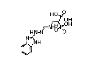 O=P(O)(O)C(CNC=NNc1nc2ccccc2[nH]1)P(=O)(O)O